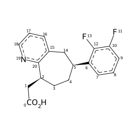 O=C(O)C[C@@H]1CC[C@H](c2cccc(F)c2F)Cc2cccnc21